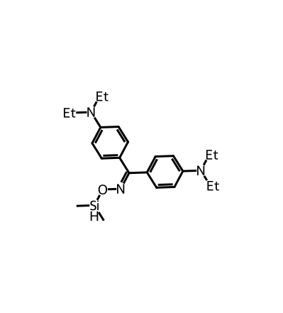 CCN(CC)c1ccc(C(=NO[SiH](C)C)c2ccc(N(CC)CC)cc2)cc1